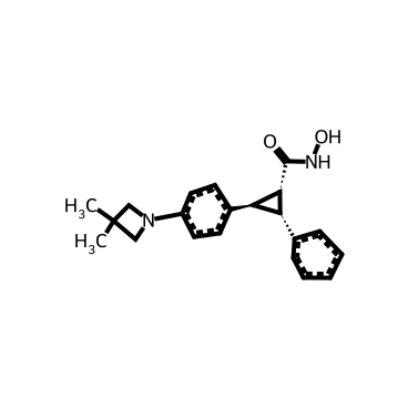 CC1(C)CN(c2ccc([C@H]3[C@H](C(=O)NO)[C@@H]3c3ccccc3)cc2)C1